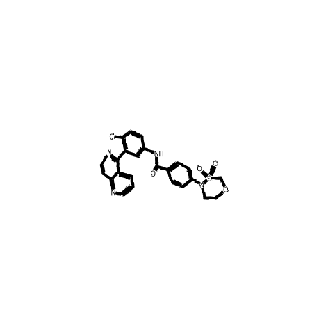 O=C(Nc1ccc(Cl)c(-c2nccc3ncccc23)c1)c1ccc(N2CCOCS2(=O)=O)cc1